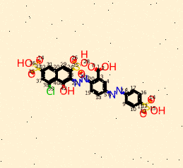 O=C(O)c1cc(/N=N/c2ccc(S(=O)(=O)O)cc2)ccc1/N=N/c1c(S(=O)(=O)O)cc2cc(S(=O)(=O)O)cc(Cl)c2c1O